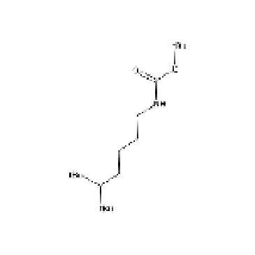 CC(C)(C)OC(=O)NCCCCC(C(C)(C)C)C(C)(C)C